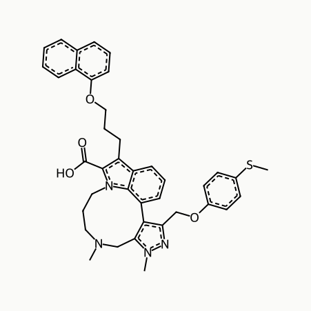 CSc1ccc(OCc2nn(C)c3c2-c2cccc4c(CCCOc5cccc6ccccc56)c(C(=O)O)n(c24)CCCN(C)C3)cc1